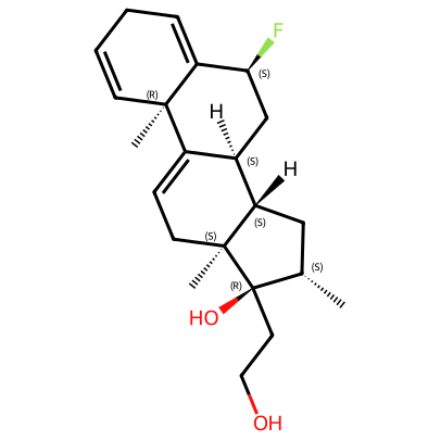 C[C@H]1C[C@H]2[C@@H]3C[C@H](F)C4=CCC=C[C@]4(C)C3=CC[C@]2(C)[C@@]1(O)CCO